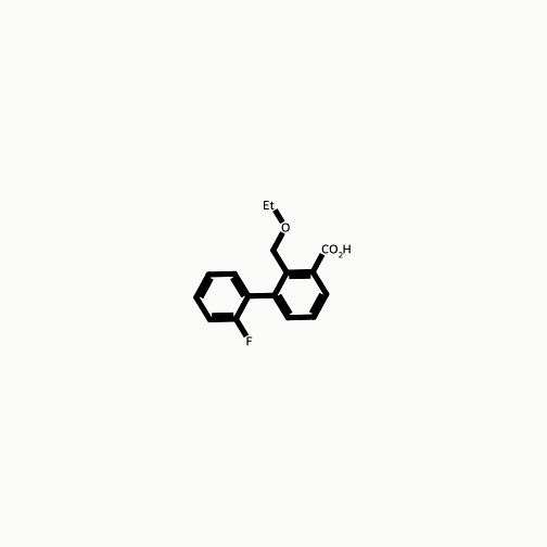 CCOCc1c(C(=O)O)cccc1-c1ccccc1F